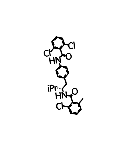 Cc1cccc(Cl)c1C(=O)N[C@@H](Cc1ccc(NC(=O)c2c(Cl)cccc2Cl)cc1)C(C)C